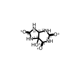 O=C1NC(=O)C2(O)NC(=O)NC2N1